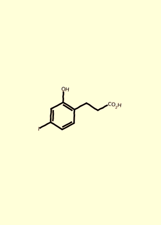 O=C(O)CCc1ccc(I)cc1O